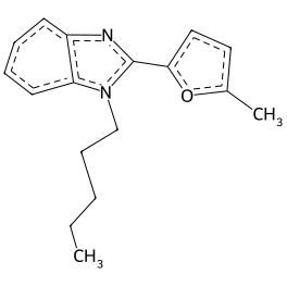 CCCCCn1c(-c2ccc(C)o2)nc2ccccc21